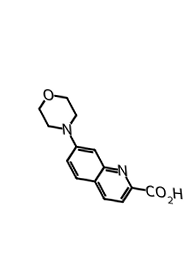 O=C(O)c1ccc2ccc(N3CCOCC3)cc2n1